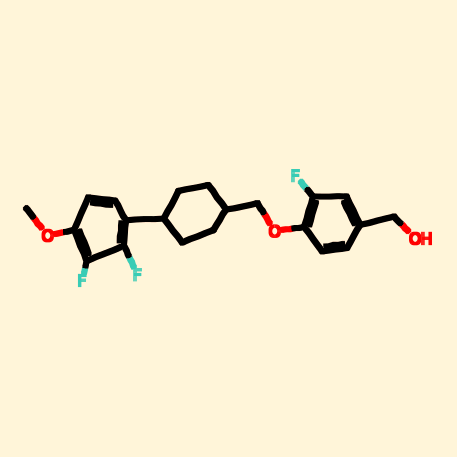 COc1ccc(C2CCC(COc3ccc(CO)cc3F)CC2)c(F)c1F